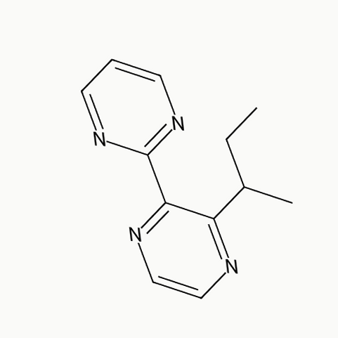 CCC(C)c1nccnc1-c1ncccn1